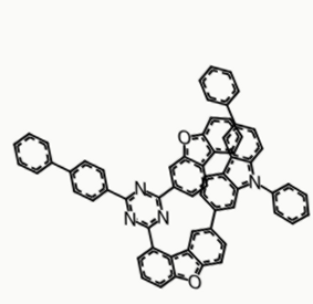 c1ccc(-c2ccc(-c3nc(-c4ccc5c(c4)oc4ccccc45)nc(-c4cccc5oc6ccc(-c7ccc8c9cc(-c%10ccccc%10)ccc9n(-c9ccccc9)c8c7)cc6c45)n3)cc2)cc1